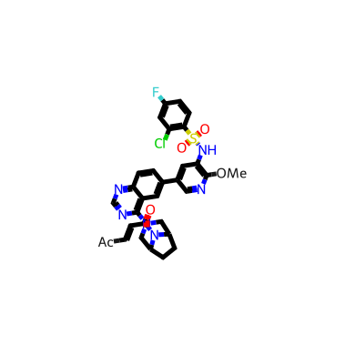 COc1ncc(-c2ccc3ncnc(N4CC5CCC(C4)N5C(=O)/C=C/C(C)=O)c3c2)cc1NS(=O)(=O)c1ccc(F)cc1Cl